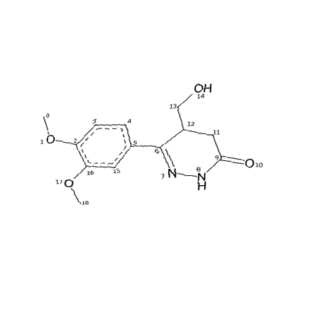 COc1ccc(C2=NNC(=O)CC2CO)cc1OC